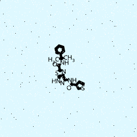 CC(C)(NC(=O)c1nc2c(NC(=O)C3C=CSC3)n[nH]c2s1)c1ccccc1